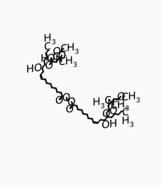 CCCCCC(OC(=O)C[N+](C)(C)CCOC)C(O)C/C=C\CCCCCCCC(=O)OCOC(=O)CCCCCCC/C=C\CC(O)C(CCCCC)OC(=O)C[N+](C)(C)OC(C)=O